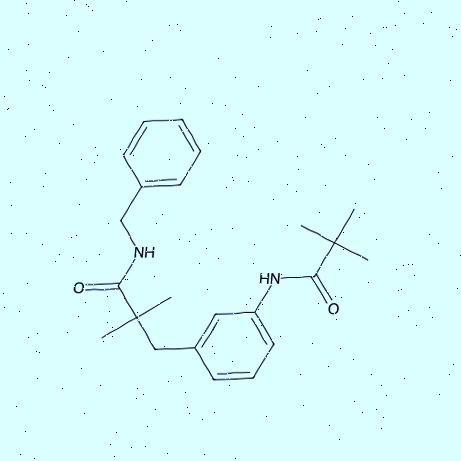 CC(C)(C)C(=O)Nc1cccc(CC(C)(C)C(=O)NCc2ccccc2)c1